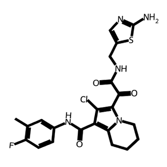 Cc1cc(NC(=O)c2c(Cl)c(C(=O)C(=O)NCc3cnc(N)s3)n3c2CCCC3)ccc1F